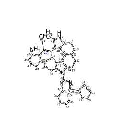 C#C/C(=C\c1c(C)[nH]c2ccc3ccc4c(c5ccccc5n4-c4nc(-c5ccccc5)c5ccccc5n4)c3c12)c1ccccc1N